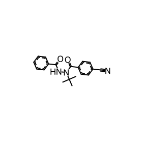 CC(C)(C)N(NC(=O)c1ccccc1)C(=O)c1ccc(C#N)cc1